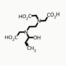 C=CC(O)N(CCN(CC(=O)O)CC(=O)O)CC(=O)O